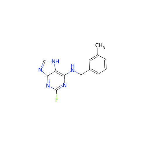 Cc1cccc(CNc2nc(F)nc3nc[nH]c23)c1